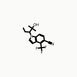 CCC(n1ccc2c(C(F)(F)F)c(C#N)ccc21)C(C)(C)O